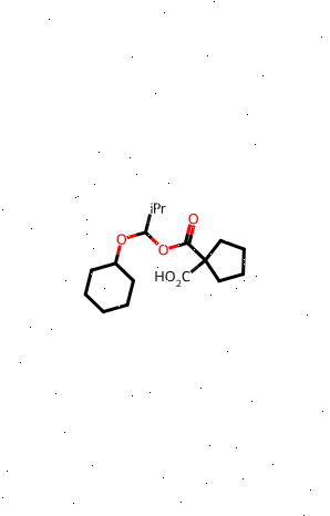 CC(C)C(OC(=O)C1(C(=O)O)CCCC1)OC1CCCCC1